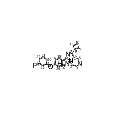 N[N+]12C=CN=CC1=C(C1=CC=C1)N=C2c1ccc(Oc2cccc(F)c2)cc1